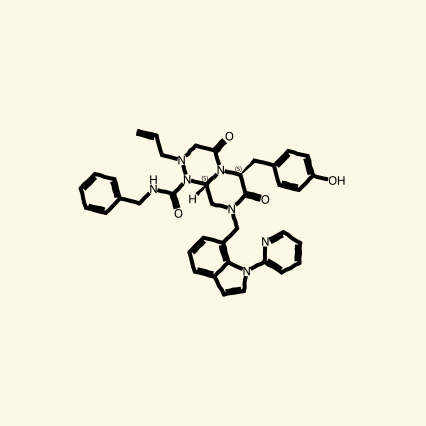 C=CCN1CC(=O)N2[C@@H](Cc3ccc(O)cc3)C(=O)N(Cc3cccc4ccn(-c5ccccn5)c34)C[C@@H]2N1C(=O)NCc1ccccc1